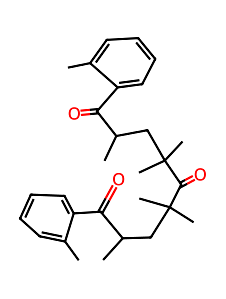 Cc1ccccc1C(=O)C(C)CC(C)(C)C(=O)C(C)(C)CC(C)C(=O)c1ccccc1C